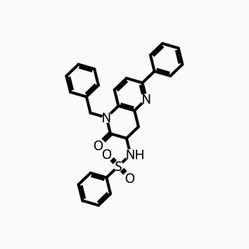 O=C1C(NS(=O)(=O)c2ccccc2)Cc2nc(-c3ccccc3)ccc2N1Cc1ccccc1